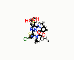 CC(Oc1ccc2c(c1)N(c1nc(-c3ccc(Cl)s3)nc3c1CS(O)(O)C3)CC2)C(=O)NC1CC1